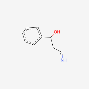 N=CCC(O)c1ccccc1